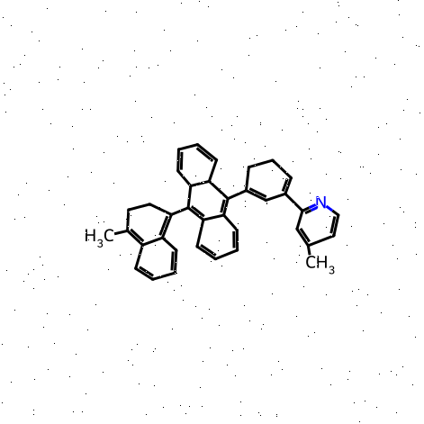 CC1=c2ccccc2=C(C2=c3ccccc3=C(C3=CC(c4cc(C)ccn4)=CCC3)C3C=CC=CC23)CC1